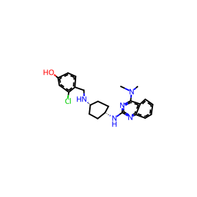 CN(C)c1nc(N[C@H]2CC[C@@H](NCc3ccc(O)cc3Cl)CC2)nc2ccccc12